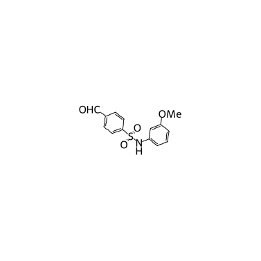 COc1cccc(NS(=O)(=O)c2ccc(C=O)cc2)c1